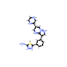 Nc1nnc(-c2cccc(-c3cnn4cc(-c5cnccn5)cnc34)c2)s1